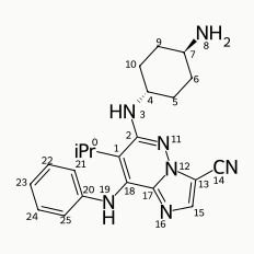 CC(C)c1c(N[C@H]2CC[C@H](N)CC2)nn2c(C#N)cnc2c1Nc1ccccc1